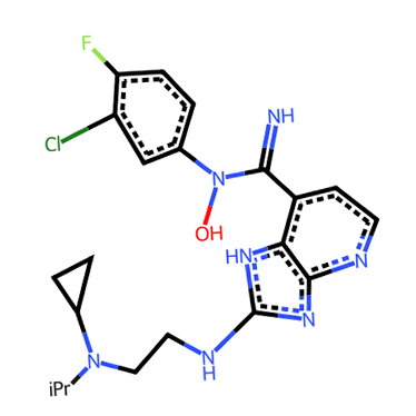 CC(C)N(CCNc1nc2nccc(C(=N)N(O)c3ccc(F)c(Cl)c3)c2[nH]1)C1CC1